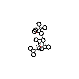 c1ccc(-c2cc(-c3ccc(-n4c5ccccc5c5ccccc54)c4c3c3ccccc3n4-c3cccc(-n4c5ccccc5c5ccccc54)n3)ccc2[Si](c2ccccc2)(c2ccccc2)c2ccccc2)cc1